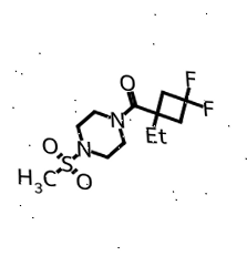 CCC1(C(=O)N2CCN(S(C)(=O)=O)CC2)CC(F)(F)C1